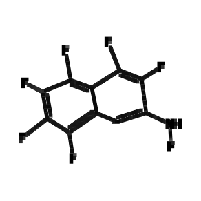 FNc1[c]c2c(F)c(F)c(F)c(F)c2c(F)c1F